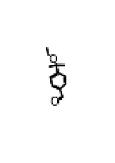 CCOC(C)(C)c1ccc(C=O)cc1